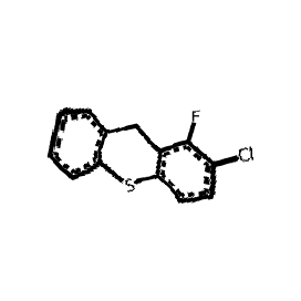 Fc1c(Cl)ccc2c1Cc1ccccc1S2